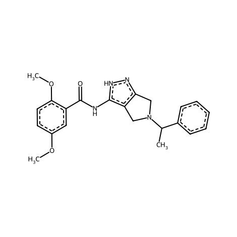 COc1ccc(OC)c(C(=O)Nc2[nH]nc3c2CN(C(C)c2ccccc2)C3)c1